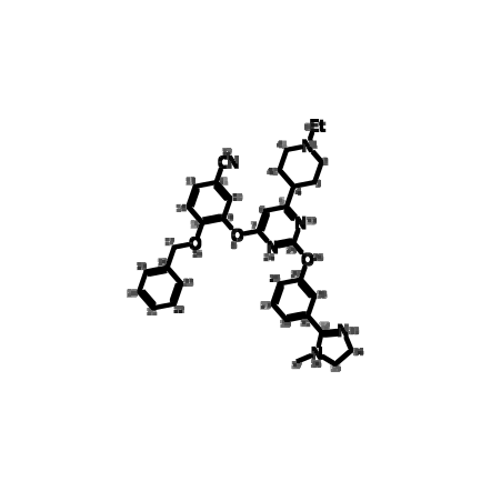 CCN1CCC(c2cc(Oc3cc(C#N)ccc3OCc3ccccc3)nc(Oc3cccc(C4=NCCN4C)c3)n2)CC1